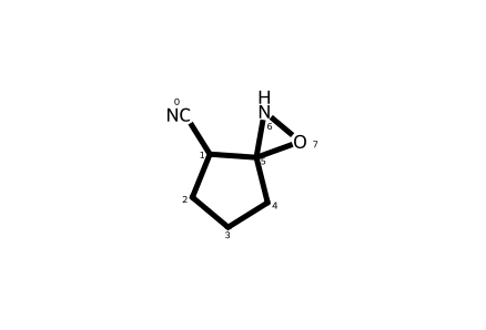 N#CC1CCCC12NO2